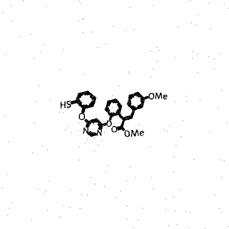 COC(=O)/C(=C/c1cccc(OC)c1)c1ccccc1Oc1cc(Oc2ccccc2S)ncn1